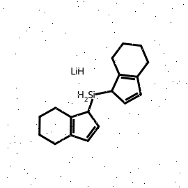 C1=CC([SiH2]C2C=CC3=C2CCCC3)C2=C1CCCC2.[LiH]